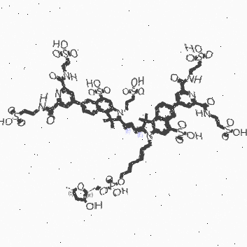 C[C@H]1CC(O)[C@@H](COP(=O)(O)OCCCCCCN2/C(=C/C=C/C3=[N+](CCCS(=O)(=O)O)c4cc(S(=O)(=O)O)c5cc(-c6cc(C(=O)NCCS(=O)(=O)O)nc(C(=O)NCCS(=O)(=O)O)c6)ccc5c4C3(C)C)C(C)(C)c3c2cc(S(=O)(=O)O)c2cc(-c4cc(C(=O)NCCS(=O)(=O)O)nc(C(=O)NCCS(=O)(=O)O)c4)ccc32)O1